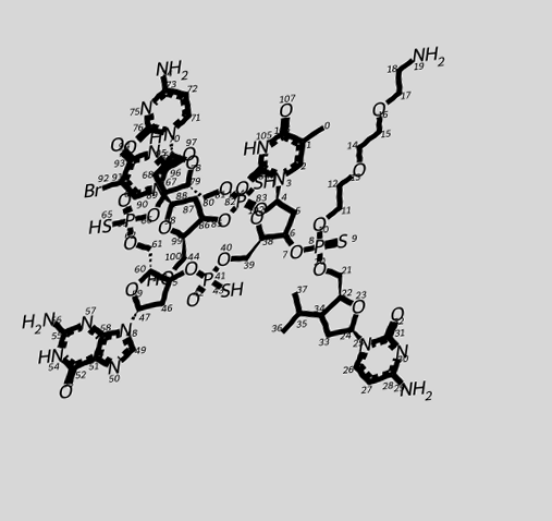 Cc1cn([C@H]2CC(OP(=S)(OCCOCCOCCN)OC[C@H]3O[C@@H](n4ccc(N)nc4=O)CC3C(C)C)[C@@H](COP(=O)(S)OC3C[C@H](n4cnc5c(=O)[nH]c(N)nc54)O[C@@H]3COP(=O)(S)OC3C[C@H](n4ccc(N)nc4=O)O[C@@H]3COP(=O)(S)OC3C[C@H](n4cc(Br)c(=O)[nH]c4=O)O[C@@H]3CO)O2)c(=O)[nH]c1=O